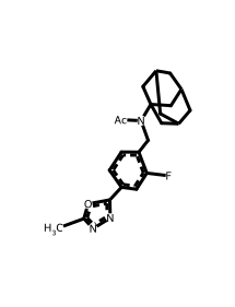 CC(=O)N(Cc1ccc(-c2nnc(C)o2)cc1F)C12CC3CC(CC(C3)C1)C2